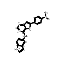 CCN(CC)c1ccc(-c2cc3ncnc(Nc4ccc5[nH]ccc5c4)c3s2)cc1